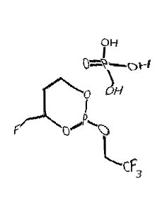 FC1CCOP(OCC(F)(F)F)O1.O=P(O)(O)O